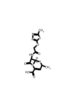 Cc1nnc(OCC(=O)NC2C(=O)N3C(C(=O)O)=CC(C)S[C@H]23)s1